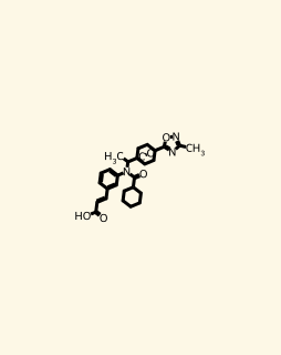 Cc1noc(C23CCC(C(C)N(C(=O)C4CCCCC4)c4cccc(/C=C/C(=O)O)c4)(CC2)CC3)n1